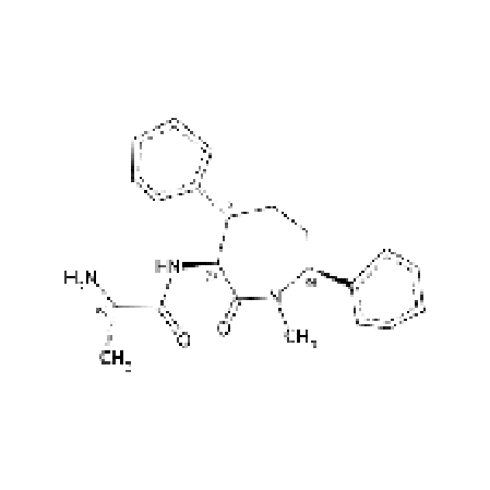 C[C@H](N)C(=O)N[C@@H]1C(=O)N(C)[C@H](c2ccccc2)CC[C@H]1c1ccccc1